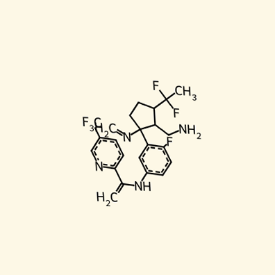 C=NC1(c2cc(NC(=C)c3ccc(C(F)(F)F)cn3)ccc2F)CCC(C(C)(F)F)C1CN